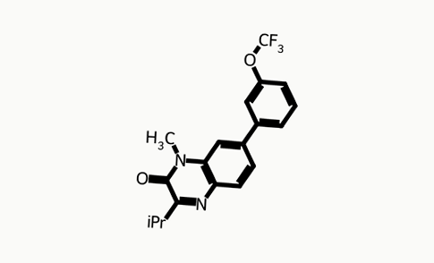 CC(C)c1nc2ccc(-c3cccc(OC(F)(F)F)c3)cc2n(C)c1=O